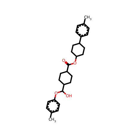 Cc1ccc(OC(O)C2CCC(C(=O)OC3CCC(c4ccc(C)cc4)CC3)CC2)cc1